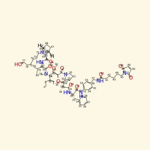 CC[C@H](C)[C@@H]([C@H](CC(=O)N1CCC[C@H]1[C@H](OC)[C@@H](C)C(=O)N[C@@H](Cc1ccccc1)C(=O)Nc1ccc(CNC(=O)CCCCCN2C(=O)C=CC2=O)cc1)OC)N(C)C(=O)[C@@H](NC(=O)[C@@H]1[C@H]2CC[C@H](C2)N1CCCCCCO)C(C)C